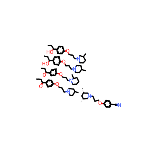 CCC(=O)c1ccc(OCCCN2CCC(C)CC2)cc1.CCC(=O)c1ccc(OCCCN2CCCCC2C)cc1.CCC(O)c1ccc(OCCCN2CCC(C)CC2)cc1.CCC(O)c1ccc(OCCCN2CCCC(C)C2)cc1.C[C@@H]1C[C@H](C)CN(CCCOc2ccc(C#N)cc2)C1